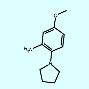 COc1ccc(N2CCCC2)c(N)c1